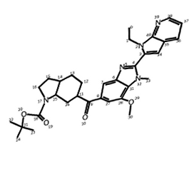 CCn1c(-c2nc3cc(C(=O)C4CCC5CCN(C(=O)OC(C)(C)C)C5C4)cc(OC)c3n2C)cc2cccnc21